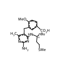 CCCC[C@@H](CCSC)Nc1nc(N)nc(C)c1Cc1cc(C(=O)O)ccc1OC